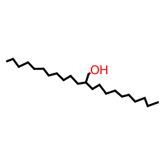 CCCCCCCCCCCC(CO)CCCCCCCCCC